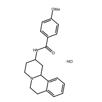 COc1ccc(C(=O)NC2CCN3CCc4ccccc4C3C2)cc1.Cl